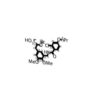 CCCOc1ccc(C(=O)NCc2cc(CC(OC(C)C)C(=O)O)cc(OC)c2OC)c(Cl)c1